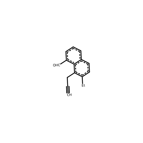 C#CCc1c(CC)ccc2cccc(C=O)c12